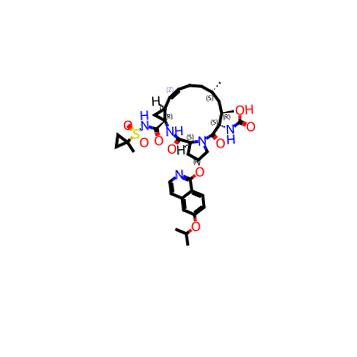 CC(C)Oc1ccc2c(O[C@@H]3C[C@H]4C(=O)N[C@]5(C(=O)NS(=O)(=O)C6(C)CC6)C[C@H]5/C=C\CC[C@H](C)C[C@@H](C)[C@H](NC(=O)O)C(=O)N4C3)nccc2c1